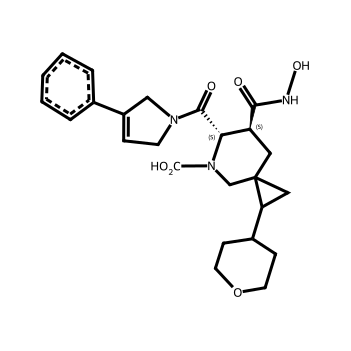 O=C(NO)[C@H]1CC2(CC2C2CCOCC2)CN(C(=O)O)[C@@H]1C(=O)N1CC=C(c2ccccc2)C1